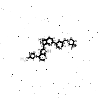 Cc1cn(-c2ccnc3[nH]c(-c4n[nH]c5ccc(-c6cncc(CN7CCC(F)(F)C7)c6)nc45)cc23)cn1